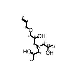 C=CCOCC(O)CN(CC(C)O)CC(C)O